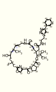 CC1=C\C(O)CC(F)Cc2nc(co2)C(=O)N2CCCC2C(=O)OC(C(C)C)C(CC(=O)NCCn2cc(-c3cccnc3)nn2)/C=C/C(=O)NC\C=C\1